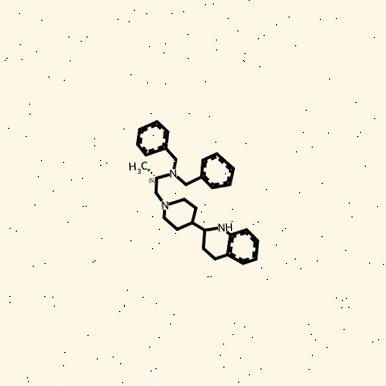 C[C@@H](CN1CCC(C2CCc3ccccc3N2)CC1)N(Cc1ccccc1)Cc1ccccc1